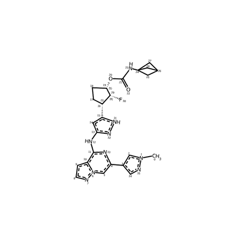 Cn1cc(-c2cn3nccc3c(Nc3cc([C@@H]4CC[C@H](OC(=O)NC56CC(C5)C6)[C@@H]4F)[nH]n3)n2)cn1